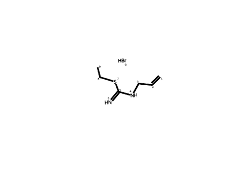 Br.C=CCNC(=N)SCC